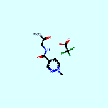 COC(=O)CNC(=O)c1cc[n+](C)nc1.O=C([O-])C(F)(F)F